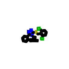 CCn1c(SCc2c(Cl)cccc2Cl)nnc1-c1ccccc1OC